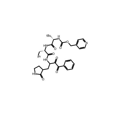 CC(C)C[C@H](NC(=O)[C@@H](NC(=O)OCc1ccncc1)C(C)(C)C)C(=O)NC(CC1CCNC1=O)C(=O)C(=O)c1ccccc1